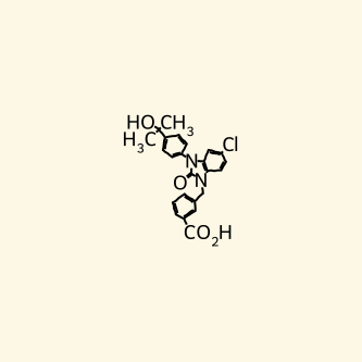 CC(C)(O)c1ccc(-n2c(=O)n(Cc3cccc(C(=O)O)c3)c3ccc(Cl)cc32)cc1